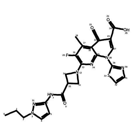 CCCn1ccc(NC(=O)C2CN(c3nc4c(c(C)c3F)c(=O)c(C(=O)O)cn4-c3nccs3)C2)n1